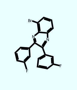 Fc1cccc(-c2nc3cccc(Br)c3nc2-c2cccc(F)c2)c1